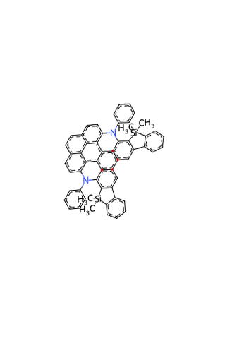 C[Si]1(C)c2ccccc2-c2cccc(N(c3ccccc3)c3ccc4ccc5ccc(N(c6ccccc6)c6cccc7c6[Si](C)(C)c6ccccc6-7)c6c7ccccc7c3c4c56)c21